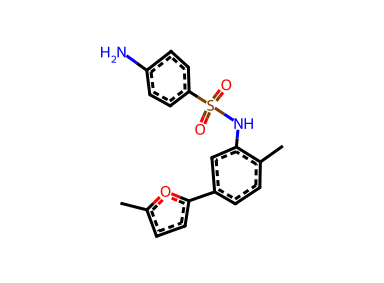 Cc1ccc(-c2ccc(C)c(NS(=O)(=O)c3ccc(N)cc3)c2)o1